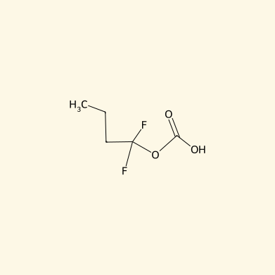 CCCC(F)(F)OC(=O)O